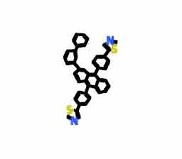 c1ccc(-c2cccc(-c3ccc4c(-c5ccc(-c6cncs6)cc5)c5ccccc5c(-c5ccc(-c6cncs6)cc5)c4c3)c2)cc1